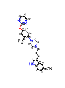 N#Cc1ccc2[nH]cc(CCCN3CCN(c4ccc(Oc5ncccn5)cc4C(F)(F)F)CC3)c2c1